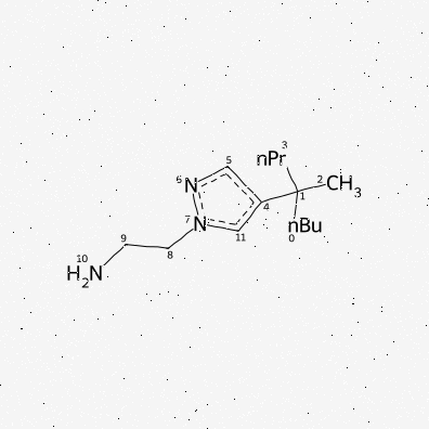 CCCCC(C)(CCC)c1cnn(CCN)c1